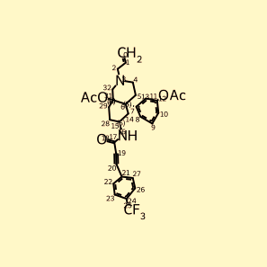 C=CCN1CC[C@@]2(c3cccc(OC(C)=O)c3)C[C@@H](NC(=O)C#Cc3ccc(C(F)(F)F)cc3)CC[C@]2(OC(C)=O)C1